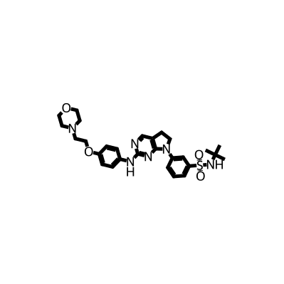 CC(C)(C)NS(=O)(=O)c1cccc(N2CCc3cnc(Nc4ccc(OCCN5CCOCC5)cc4)nc32)c1